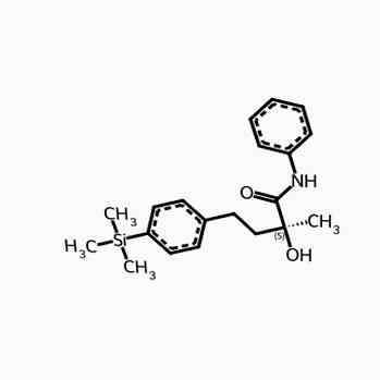 C[C@](O)(CCc1ccc([Si](C)(C)C)cc1)C(=O)Nc1ccccc1